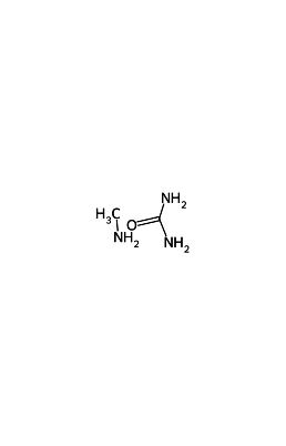 CN.NC(N)=O